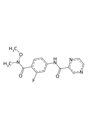 CON(C)C(=O)c1ccc(NC(=O)c2cnccn2)cc1F